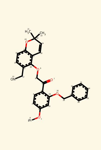 CC(C)Oc1ccc(C(=O)COc2c(CN=O)ccc3c2C=CC(C)(C)O3)c(OCc2ccccc2)c1